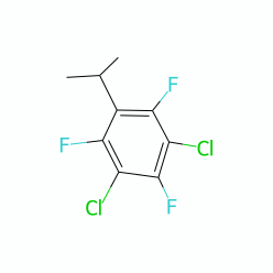 CC(C)c1c(F)c(Cl)c(F)c(Cl)c1F